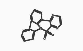 O=S1(=O)c2nccnc2-c2cccc3c4ccccc4n1c23